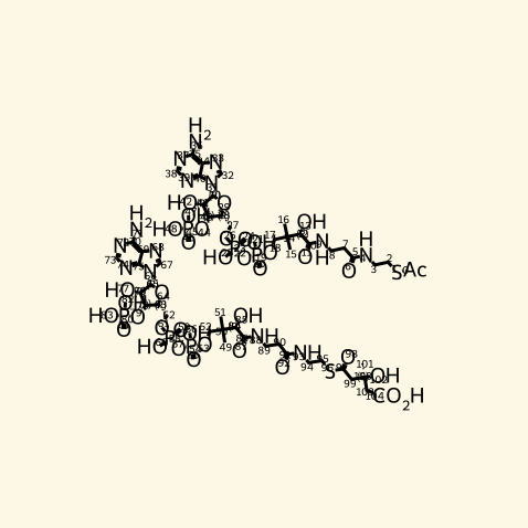 CC(=O)SCCNC(=O)CCNC(=O)[C@H](O)C(C)(C)COP(=O)(O)OP(=O)(O)OC[C@H]1O[C@@H](n2cnc3c(N)ncnc32)[C@H](O)[C@@H]1OP(=O)(O)O.CC(C)(COP(=O)(O)OP(=O)(O)OC[C@H]1O[C@@H](n2cnc3c(N)ncnc32)[C@H](O)[C@@H]1OP(=O)(O)O)[C@@H](O)C(=O)NCCC(=O)NCCSC(=O)C[C@@](C)(O)CC(=O)O